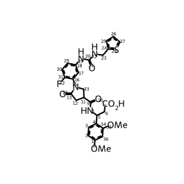 COc1ccc(C(CC(=O)O)NC(=O)C2CC(=O)N(c3cc(NC(=O)NCc4cccs4)ccc3F)C2)c(OC)c1